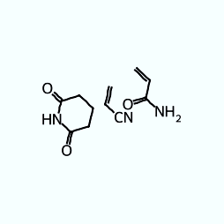 C=CC#N.C=CC(N)=O.O=C1CCCC(=O)N1